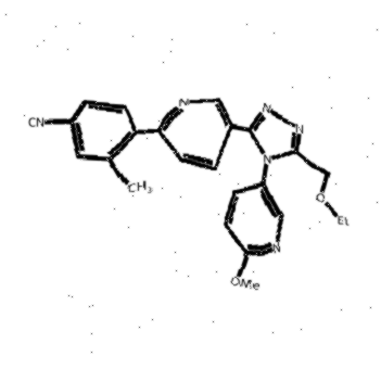 [C-]#[N+]c1ccc(-c2ccc(-c3nnc(COCC)n3-c3ccc(OC)nc3)cn2)c(C)c1